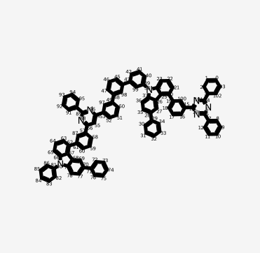 C1=CCC(c2nc(-c3ccccc3)nc(-c3cccc(-c4cccc5c4c4cc(-c6ccccc6)ccc4n5-c4cccc(-c5cccc(-c6cccc(-c7cc(-c8cccc(-c9cccc%10c9c9cc(-c%11ccccc%11)ccc9n%10-c9ccccc9)c8)nc(-c8ccccc8)n7)c6)c5)c4)c3)n2)C=C1